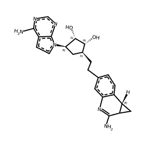 NC1=Nc2cc(CC[C@H]3C[C@@H](n4ccc5c(N)ncnc54)[C@H](O)[C@@H]3O)ccc2[C@@H]2CC12